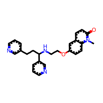 Cn1c(=O)ccc2cc(OCCNC(CCc3cccnc3)c3cccnc3)ccc21